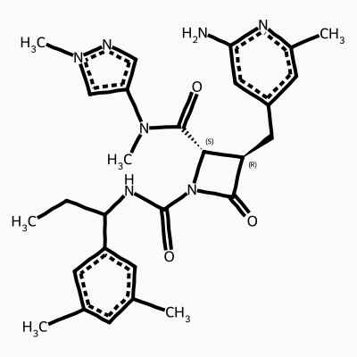 CCC(NC(=O)N1C(=O)[C@H](Cc2cc(C)nc(N)c2)[C@H]1C(=O)N(C)c1cnn(C)c1)c1cc(C)cc(C)c1